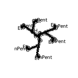 CCCCCC(CC)OC(=O)CCCCCCCCN(CCCCCCCCC(=O)OC(CC)CCCCC)CCCCC(=O)OCc1cc(C(=O)NCCCN(CCCCCCCCC(=O)OC(CC)CCCCC)CCCCCCCCC(=O)OC(CC)CCCCC)cc(C(=O)NCCCN(CCCCCCCCC(=O)OC(CC)CCCCC)CCCCCCCCC(=O)OC(CC)CCCCC)c1